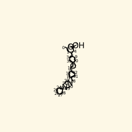 CC=CC(CC(=O)O)c1ccc(OCc2ccc(CN3CCN(c4ccccc4)CC3)cc2)cc1